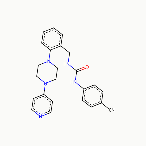 N#Cc1ccc(NC(=O)NCc2ccccc2N2CCN(c3ccncc3)CC2)cc1